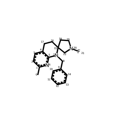 Cc1ccc2c(n1)N(Cc1ccccc1)C1(CC2)CCN(F)C1